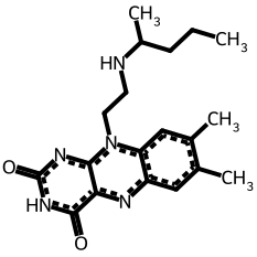 CCCC(C)NCCn1c2nc(=O)[nH]c(=O)c-2nc2cc(C)c(C)cc21